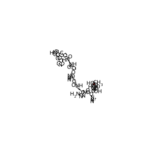 CP(=O)(O)OP(=O)(O)OP(=O)(O)OC[C@H]1O[C@@H](n2cc(C#CCNC(=O)COCCOC(COc3cccc(C(=O)NCCNC(=O)c4ccc(C(=O)O)c(C5=c6cc7c8c(c6Oc6c5cc5c9c6CCCN9CCC5)CCC[N+]=8CCC7)c4)c3)N=[N+]=[N-])c3c(N)ncnc32)C[C@H]1OCN=[N+]=[N-]